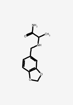 CC(NCc1ccc2c(c1)OCO2)C(N)=O